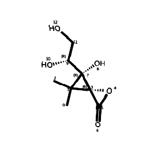 CC1(C)[C@@]2(OC2=O)[C@]1(O)[C@H](O)CO